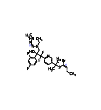 CC/C=C(/Br)SC(C)(C)c1ccc(C(F)(F)C(O)(CN(CC)/N=N\NC)c2ccc(F)cc2F)nc1